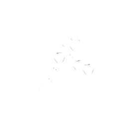 CC(C)N1CCN(c2c(F)cc3c(=O)c(C(=O)N4CCOCC4)cn4c3c2Oc2cc3ccccc3cc2-4)CC1